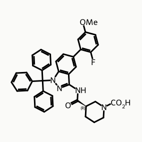 COc1ccc(F)c(-c2ccc3c(c2)c(NC(=O)[C@@H]2CCCN(C(=O)O)C2)nn3C(c2ccccc2)(c2ccccc2)c2ccccc2)c1